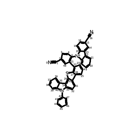 N#Cc1ccc(-n2c3ccccc3c3cc(C#N)ccc32)c(-c2cccc3c2sc2c3ccc3c2c2ccccc2n3-c2ccccc2)c1